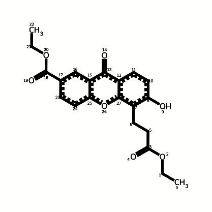 CCOC(=O)CCc1c(O)ccc2c(=O)c3cc(C(=O)OCC)ccc3oc12